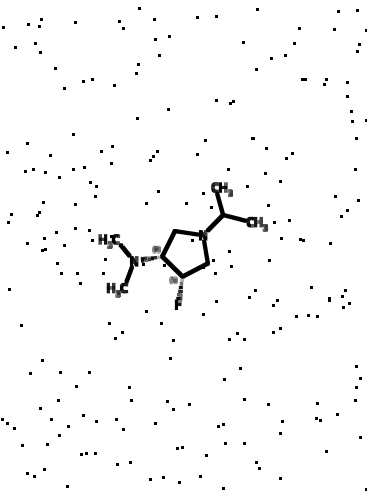 CC(C)N1C[C@@H](N(C)C)[C@@H](F)C1